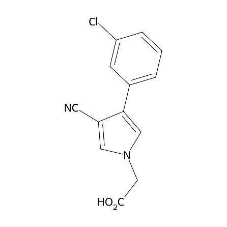 N#Cc1cn(CC(=O)O)cc1-c1cccc(Cl)c1